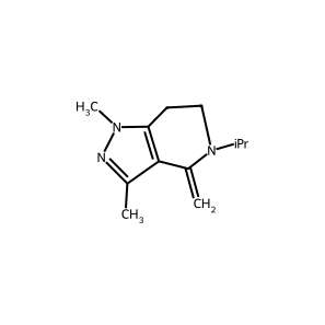 C=C1c2c(C)nn(C)c2CCN1C(C)C